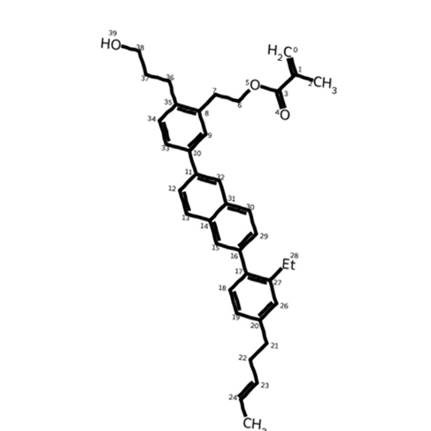 C=C(C)C(=O)OCCc1cc(-c2ccc3cc(-c4ccc(CC/C=C/C)cc4CC)ccc3c2)ccc1CCCO